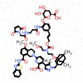 COCCN(CCOC12CC3(C)CC(C)(CC(Cn4ncc(-c5ccc(N6CCc7c(OC)ccc(C(=O)Nc8nc9ccccc9s8)c7C6)nc5C(=O)O)c4C)(C3)C1)C2)C(=O)OC/C=C/c1ccc(O[C@@H]2O[C@H](C(=O)O)C[C@H](O)[C@H]2O)c(NC(=O)CCNC(=O)CN2C(=O)C=CC2=O)c1